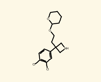 Clc1ccc(C2(CCOC3CCCCO3)CNC2)cc1Cl